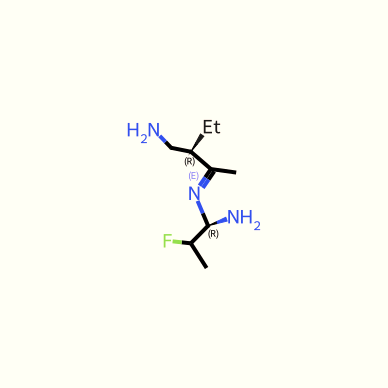 CC[C@H](CN)/C(C)=N/[C@@H](N)C(C)F